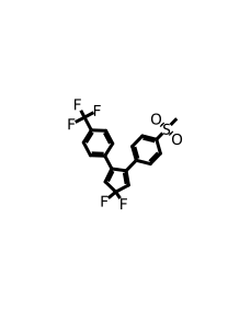 CS(=O)(=O)c1ccc(C2=CC(F)(F)C=C2c2ccc(C(F)(F)F)cc2)cc1